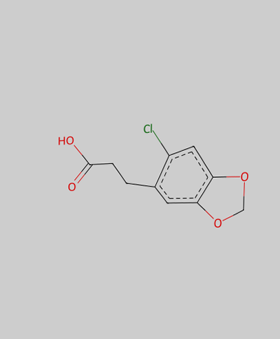 O=C(O)CCc1cc2c(cc1Cl)OCO2